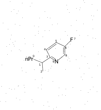 CCCC(C)c1ccc(F)cn1